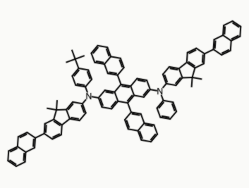 CC(C)(C)c1ccc(N(c2ccc3c(c2)C(C)(C)c2cc(-c4ccc5ccccc5c4)ccc2-3)c2ccc3c(-c4ccc5ccccc5c4)c4cc(N(c5ccccc5)c5ccc6c(c5)C(C)(C)c5cc(-c7ccc8ccccc8c7)ccc5-6)ccc4c(-c4ccc5ccccc5c4)c3c2)cc1